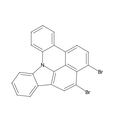 Brc1ccc2c3ccccc3n3c4ccccc4c4cc(Br)c1c2c43